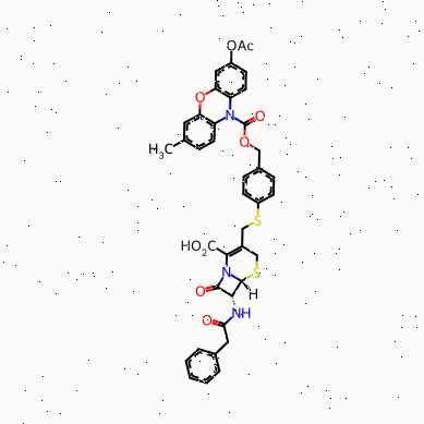 CC(=O)Oc1ccc2c(c1)Oc1cc(C)ccc1N2C(=O)OCc1ccc(SCC2=C(C(=O)O)N3C(=O)[C@@H](NC(=O)Cc4ccccc4)[C@H]3SC2)cc1